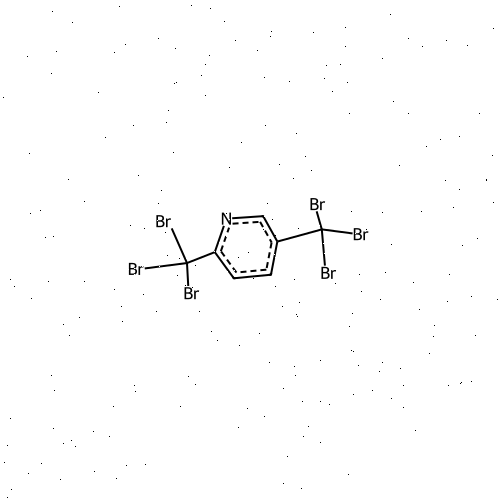 BrC(Br)(Br)c1ccc(C(Br)(Br)Br)nc1